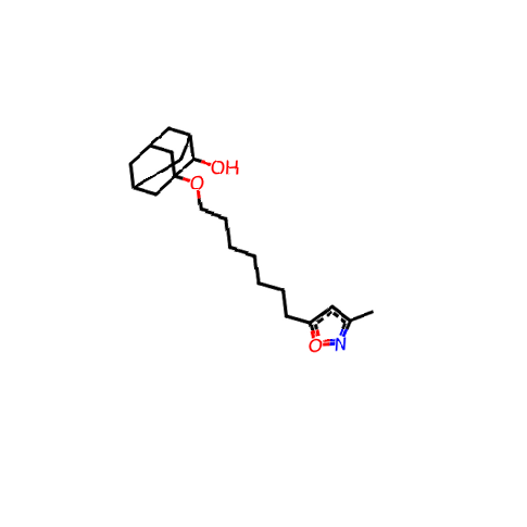 Cc1cc(CCCCCCCOC23CC4CC(CC(C4)C2O)C3)on1